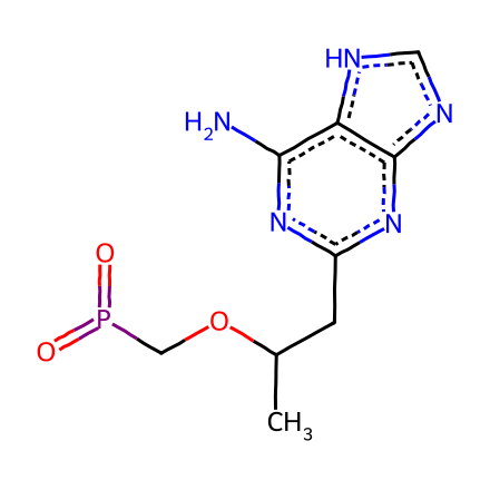 CC(Cc1nc(N)c2[nH]cnc2n1)OCP(=O)=O